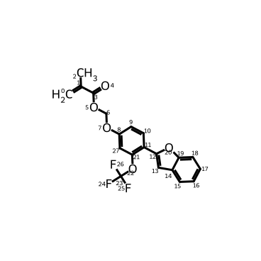 C=C(C)C(=O)OCOc1ccc(-c2cc3ccccc3o2)c(OC(F)(F)F)c1